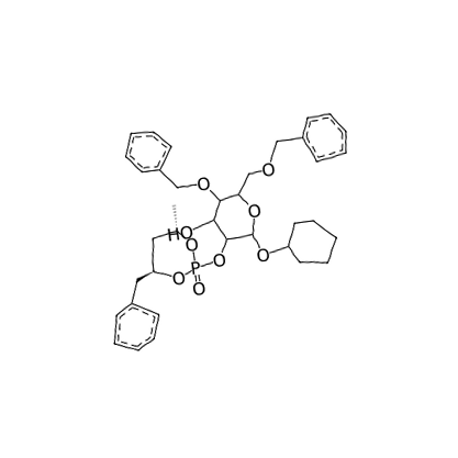 C[C@H]1C[C@H](Cc2ccccc2)OP(=O)(OC2C(OC3CCCCC3)OC(COCc3ccccc3)C(OCc3ccccc3)C2O)O1